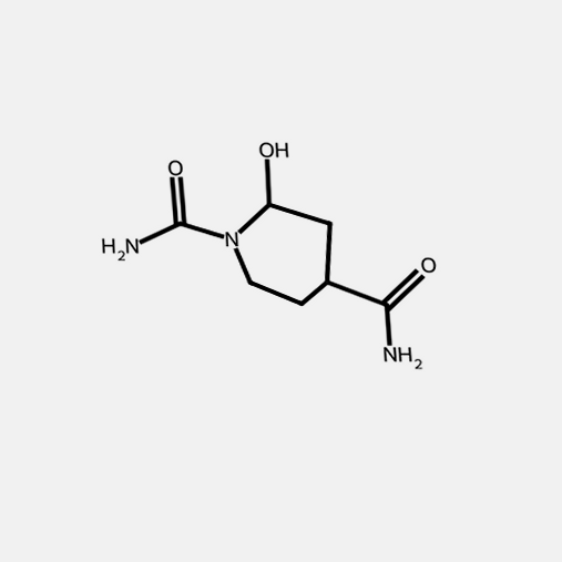 NC(=O)C1CCN(C(N)=O)C(O)C1